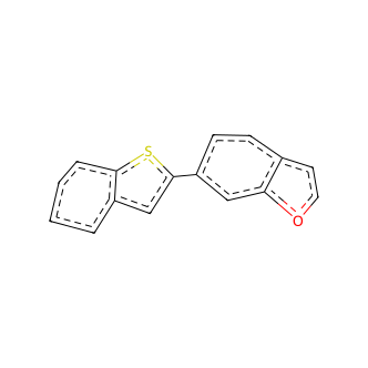 c1ccc2sc(-c3ccc4ccoc4c3)cc2c1